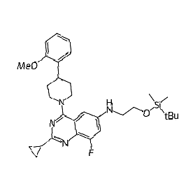 COc1ccccc1C1CCN(c2nc(C3CC3)nc3c(F)cc(NCCO[Si](C)(C)C(C)(C)C)cc23)CC1